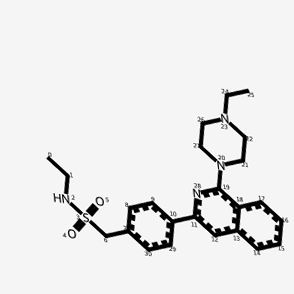 CCNS(=O)(=O)Cc1ccc(-c2cc3ccccc3c(N3CCN(CC)CC3)n2)cc1